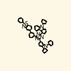 c1ccc(-c2nc3cc(-c4cccc(-c5nc(-c6ccc7c8ccccc8n(-c8ccccc8)c7c6)nc(-c6cccc7c6c6ccccc6n7-c6ccccc6)n5)c4)ccc3s2)cc1